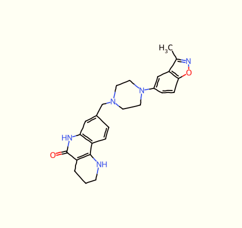 Cc1noc2ccc(N3CCN(Cc4ccc5c6c(c(=O)[nH]c5c4)CCCN6)CC3)cc12